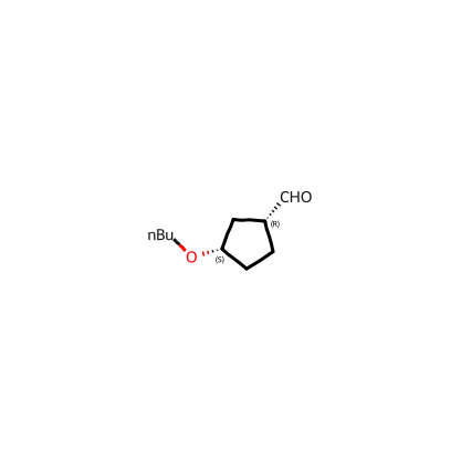 CCCCO[C@H]1CC[C@@H](C=O)C1